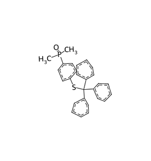 CP(C)(=O)c1ccc(SC(c2ccccc2)(c2ccccc2)c2ccccc2)cc1